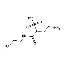 CCCNC(=O)C(CCN)S(=O)(=O)O